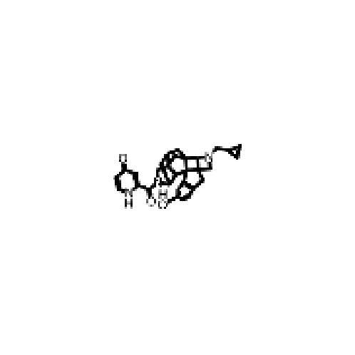 O=C(c1cc(=O)cc[nH]1)N1CC23CC45CC2CC1C3C41c2cc(O)ccc2CC12CN(CC1CC1)C25